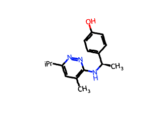 Cc1cc(C(C)C)nnc1N[C@H](C)c1ccc(O)cc1